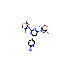 Nc1ccc(-c2cc(N3C[C@@H]4C[C@H]3CO4)nc(N3C[C@@H]4C[C@H]3CO4)n2)cn1